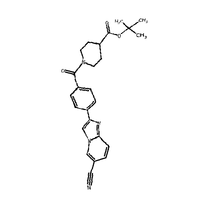 CC(C)(C)OC(=O)C1CCN(C(=O)c2ccc(-c3cn4cc(C#N)ccc4n3)cc2)CC1